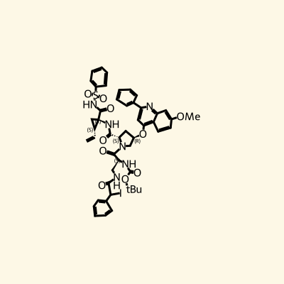 C=C[C@@H]1C[C@]1(NC(=O)[C@@H]1C[C@@H](Oc2cc(-c3ccccc3)nc3cc(OC)ccc23)CN1C(=O)[C@H](CNC(=O)C(I)c1ccccc1)NC(=O)OC(C)(C)C)C(=O)NS(=O)(=O)c1ccccc1